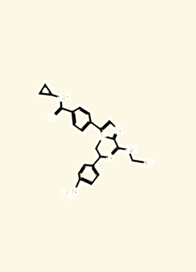 CC(C)CNC1=NC(c2ccc(N)cc2)Cn2c(-c3ccc(C(=O)NC4CC4)cc3)cnc21